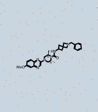 COc1ccc2nc(N3C[C@@H](C)N(C(=O)NC4CC5(C4)CN(Cc4ccccc4)C5)[C@H](C)C3)cnc2c1